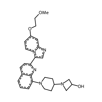 COCCOc1ccn2c(-c3ccc4cccc(N5CCC(N6CC(O)C6)CC5)c4n3)cnc2c1